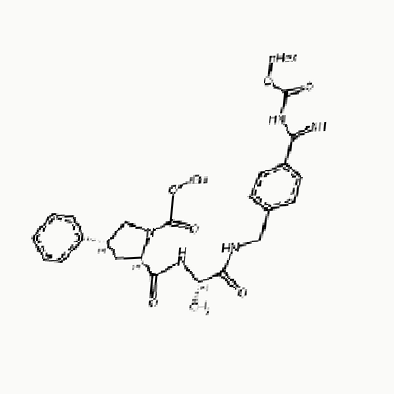 CCCCCCOC(=O)NC(=N)c1ccc(CNC(=O)[C@H](C)NC(=O)[C@H]2C[C@H](c3ccccc3)CN2C(=O)OC(C)(C)C)cc1